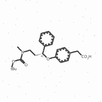 CN(CC[C@@H](Oc1ccc(CC(=O)O)cc1)c1ccccc1)C(=O)OC(C)(C)C